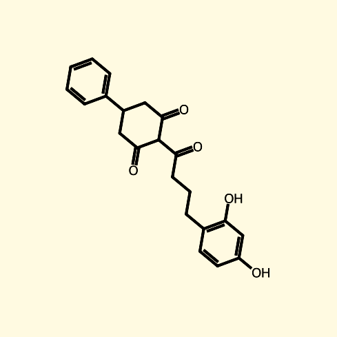 O=C(CCCc1ccc(O)cc1O)C1C(=O)CC(c2ccccc2)CC1=O